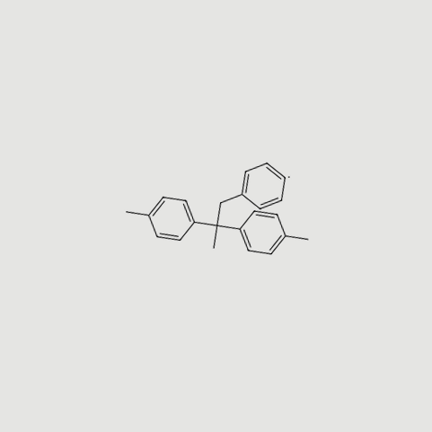 Cc1ccc(C(C)(Cc2cc[c]cc2)c2ccc(C)cc2)cc1